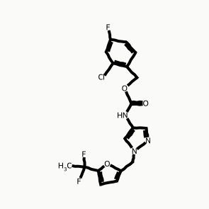 CC(F)(F)c1ccc(Cn2cc(NC(=O)OCc3ccc(F)cc3Cl)cn2)o1